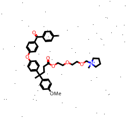 COc1ccc(C(C)(CCC(=O)OCCOCCOC[N+]2(C)CCCC2)c2ccc(Oc3ccc(C(=O)c4ccc(C)cc4)cc3)cc2)cc1